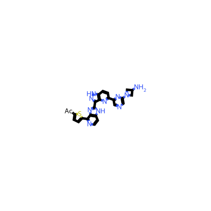 CC(=O)c1ccc(-c2nccc3[nH]c(-c4n[nH]c5ccc(-c6cncc(N7CC(N)C7)n6)nc45)nc23)s1